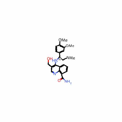 CNC[C@@H](Nc1c(CO)cnc2c(C(N)=O)cccc12)c1ccc(OC)c(OC)c1